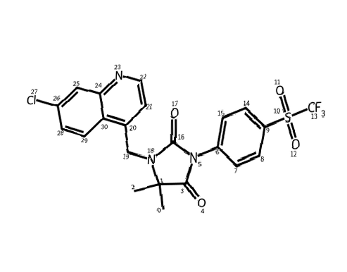 CC1(C)C(=O)N(c2ccc(S(=O)(=O)C(F)(F)F)cc2)C(=O)N1Cc1ccnc2cc(Cl)ccc12